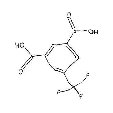 O=C(O)c1cc(S(=O)O)cc(C(F)(F)F)c1